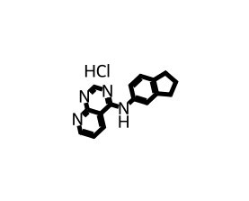 Cl.c1cnc2ncnc(Nc3ccc4c(c3)CCC4)c2c1